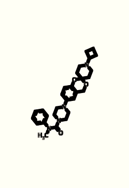 CN(C(=O)N1CCN(c2ccc3c(c2)COC2(CCN(C4CCC4)CC2)O3)CC1)c1ccccc1